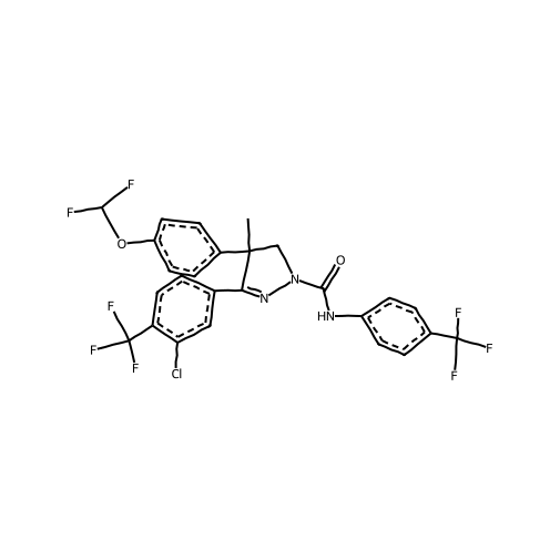 CC1(c2ccc(OC(F)F)cc2)CN(C(=O)Nc2ccc(C(F)(F)F)cc2)N=C1c1ccc(C(F)(F)F)c(Cl)c1